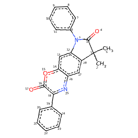 CC1(C)C(=O)N(c2ccccc2)c2cc3oc(=O)c(-c4ccccc4)nc3cc21